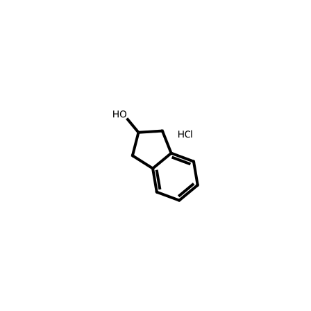 Cl.OC1Cc2ccccc2C1